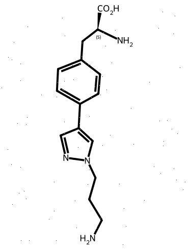 NCCCn1cc(-c2ccc(C[C@H](N)C(=O)O)cc2)cn1